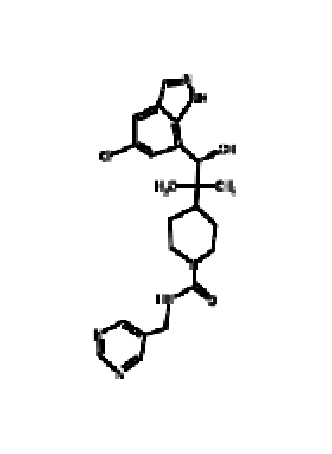 CC(C)(C1CCN(C(=O)NCc2cncnc2)CC1)[C@H](O)c1cc(Cl)cc2cn[nH]c12